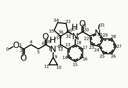 COC(=O)CCC(=O)N(C1CC1)[C@H]1c2ccccc2N(C(=O)c2cc3ccccc3n2C)[C@@H]2CCC[C@@H]21